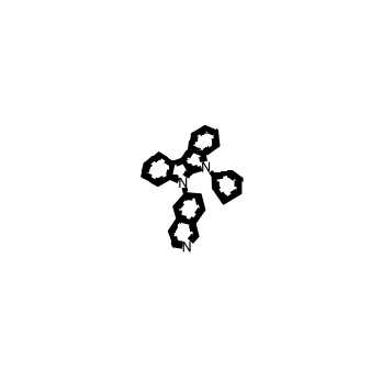 c1ccc(-n2c3ccccc3c3c4ccccc4n(-c4ccc5cnccc5c4)c32)cc1